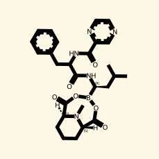 CC(C)C[C@H](NC(=O)C(Cc1ccccc1)NC(=O)c1cnccn1)B1OC(=O)[C@@H]2CCC[C@@H](C(=O)O1)N2C